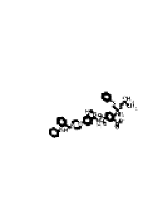 CN(C)CC[C@H](CSc1ccccc1)Nc1ccc(S(=O)(=O)Nc2ncnc3cc(N4CCN(Cc5ccccc5NC5CCCCC5)CC4)ccc23)cc1[N+](=O)[O-]